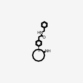 N=C1CCCCCCCCC[C@@H](c2ccc(CC(=O)NCc3ccccc3)cc2)C1